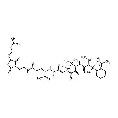 CN[C@H](C(=O)NC(C(=O)N(C)C/C=C(\C)C(=O)N[C@H](CCC(=O)NCCN1C(=O)CC(SCCC(=O)O)C1=O)C(=O)O)C(C)(C)C)C(C)(C)C1CCCCN1C(C)C